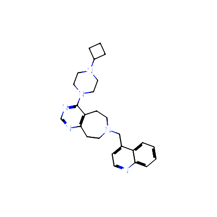 c1ccc2c(CN3CCc4ncnc(N5CCN(C6CCC6)CC5)c4CC3)ccnc2c1